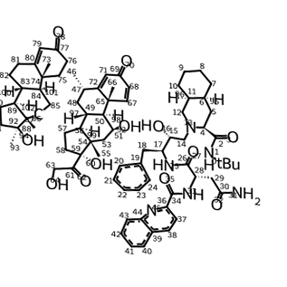 CC(C)(C)NC(=O)[C@@H]1C[C@@H]2CCCC[C@@H]2CN1C[C@@H](O)[C@H](Cc1ccccc1)NC(=O)[C@H](CC(N)=O)NC(=O)c1ccc2ccccc2n1.C[C@H]1C[C@@H]2[C@H]([C@@H](O)C[C@@]3(C)[C@H]2CC[C@]3(O)C(=O)CO)[C@@]2(C)C=CC(=O)C=C12.C[C@]12CCC(=O)C=C1CC[C@@H]1[C@@H]2CC[C@@]2(C)[C@H]1CC[C@]2(C)O